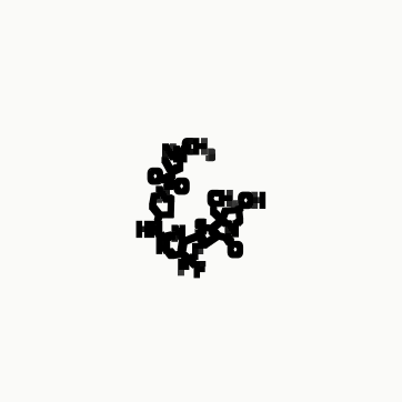 CCC12CC(O)CN1C(=O)c1cc(-c3nc(NC4CCN(S(=O)(=O)c5cnn(C)c5)CC4)ncc3C(F)(F)F)sc12